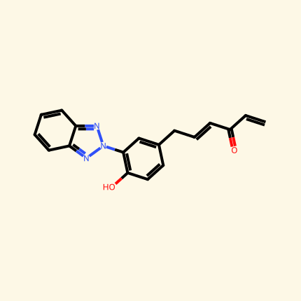 C=CC(=O)C=CCc1ccc(O)c(-n2nc3ccccc3n2)c1